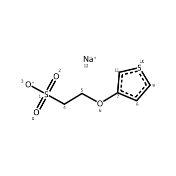 O=S(=O)([O-])CCOc1ccsc1.[Na+]